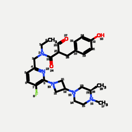 CCN(Cc1ccc(F)c(N2CC(N3CCN(C)[C@H](C)C3)C2)n1)C(=O)C(C=O)Cc1ccc(O)cc1